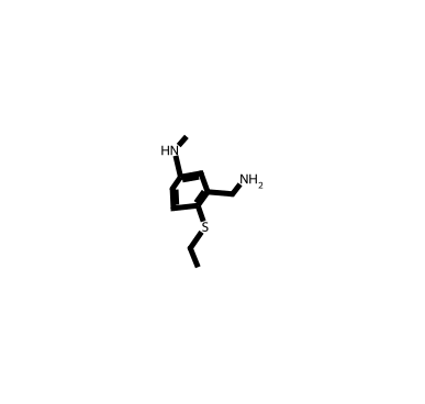 CCSc1ccc(NC)cc1CN